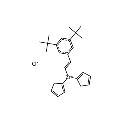 CC(C)(C)c1cc(/C=[CH]/[Zr+]([C]2=CC=CC2)[C]2=CC=CC2)cc(C(C)(C)C)c1.[Cl-]